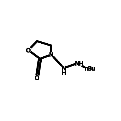 CCCCNNN1CCOC1=O